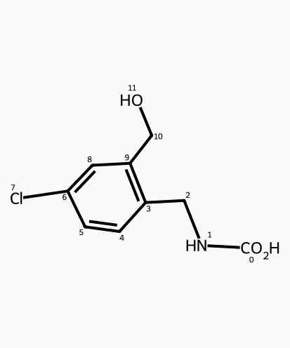 O=C(O)NCc1ccc(Cl)cc1CO